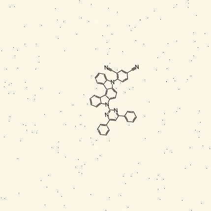 N#Cc1ccc(-n2c3ccccc3c3c4c5ccccc5n(-c5nc(-c6ccccc6)cc(-c6ccccc6)n5)c4ccc32)c(C#N)c1